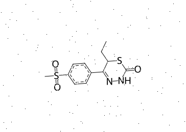 CCC1SC(=O)NN=C1c1ccc(S(C)(=O)=O)cc1